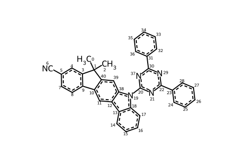 CC1(C)c2cc(C#N)ccc2-c2cc3c4ccccc4n(-c4nc(-c5ccccc5)nc(-c5ccccc5)n4)c3cc21